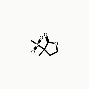 C[C@]1(S(C)(=O)=O)CCOC1=O